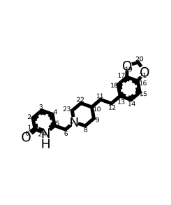 O=c1cccc(CN2CCC(CCc3ccc4c(c3)OCO4)CC2)[nH]1